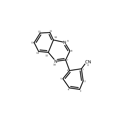 N#Cc1ccccc1-c1cnc2ccccc2n1